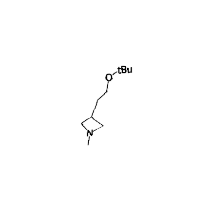 CN1CC(CCOC(C)(C)C)C1